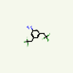 Nc1cc(CC(F)(F)F)cc(CC(F)(F)F)c1